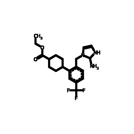 CCOC(=O)C1CCC(c2cc(C(F)(F)F)ccc2CN2C=CNC2N)CC1